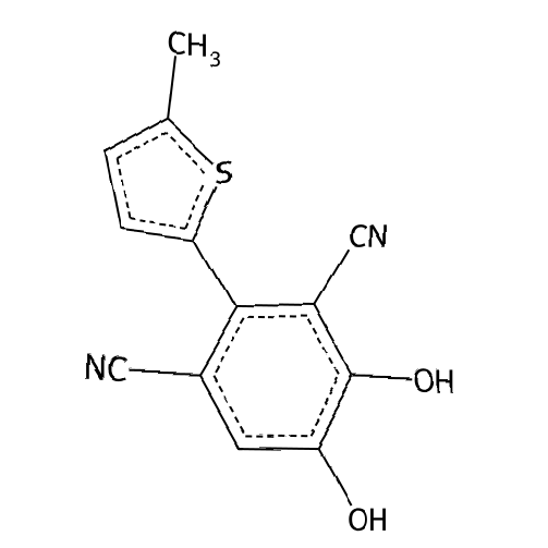 Cc1ccc(-c2c(C#N)cc(O)c(O)c2C#N)s1